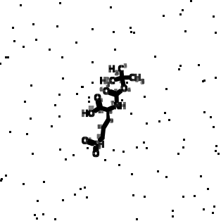 CC(C)(C)OC(=O)N[C@@H](CCC[SH](=O)=O)C(=O)O